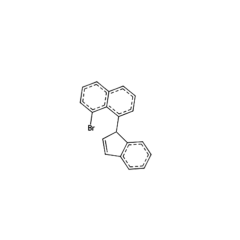 Brc1cccc2cccc(C3C=Cc4ccccc43)c12